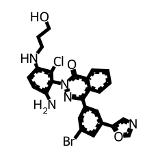 Nc1ccc(NCCCO)c(Cl)c1-n1nc(-c2cc(Br)cc(-c3cnco3)c2)c2ccccc2c1=O